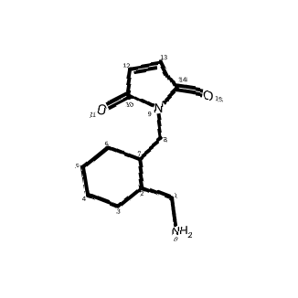 NCC1CCCCC1CN1C(=O)C=CC1=O